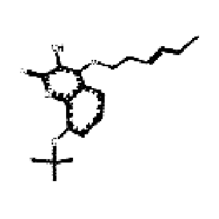 CCC=CCCOc1c(O)c(=O)oc2c(OC(C)(C)C)cccc12